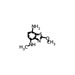 CNc1ccc(N)c2sc(OC)nc12